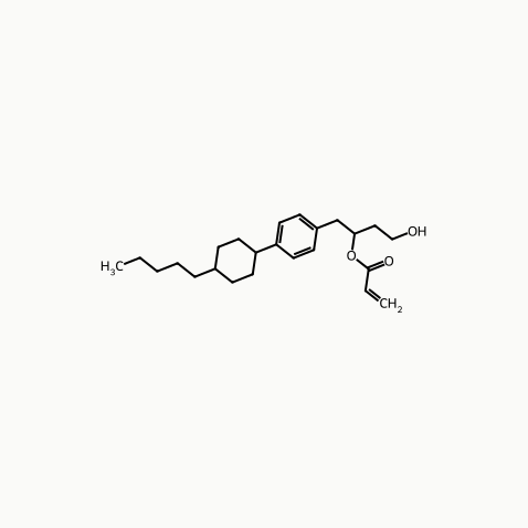 C=CC(=O)OC(CCO)Cc1ccc(C2CCC(CCCCC)CC2)cc1